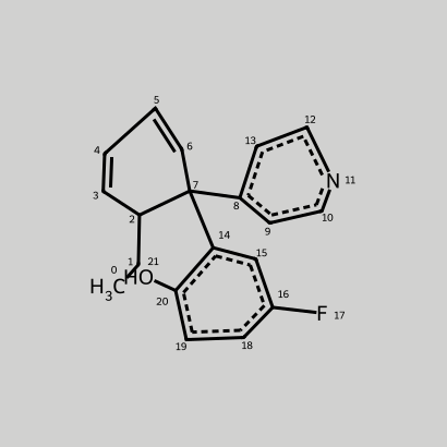 CCC1C=CC=CC1(c1ccncc1)c1cc(F)ccc1O